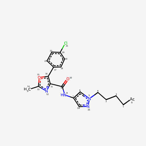 CC(=O)CCCCn1cc(NC(=O)c2nc(C)oc2-c2ccc(Cl)cc2)cn1